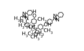 Cc1cc(C(C)(C)CC(C)(C)C)ccc1O.Cc1ccc(C(C)(C)C)cc1O.Cn1nc2ccccc2n1.c1ccc(-n2nc3ccccc3n2)cc1